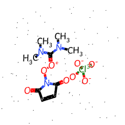 CN(C)C(=[O+]ON1C(=O)C=CC1=O)N(C)C.[O-][Cl+3]([O-])([O-])[O-]